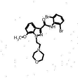 COc1cccc2c(C(=O)Nc3c(Br)cccc3Br)nn(CCN3CCOCC3)c12